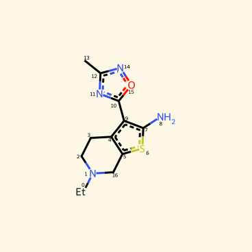 CCN1CCc2c(sc(N)c2-c2nc(C)no2)C1